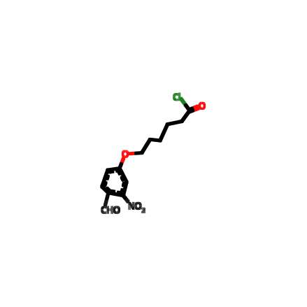 O=Cc1ccc(OCCCCCC(=O)Cl)cc1[N+](=O)[O-]